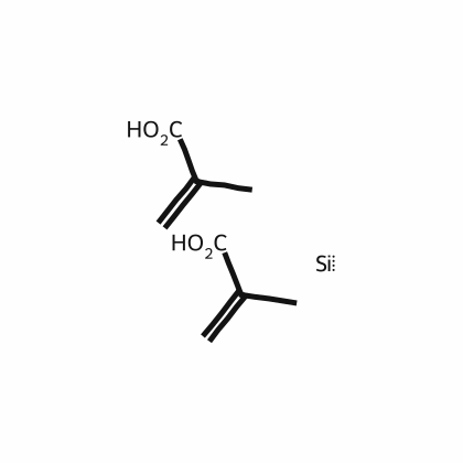 C=C(C)C(=O)O.C=C(C)C(=O)O.[Si]